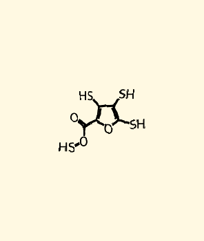 O=C(OS)c1oc(S)c(S)c1S